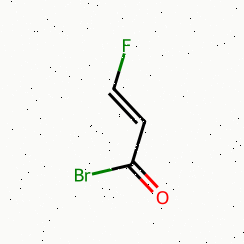 O=C(Br)C=CF